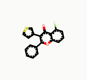 O=c1c(-c2ccsc2)c(-c2ccccc2)oc2cccc(F)c12